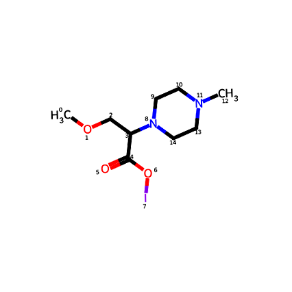 COCC(C(=O)OI)N1CCN(C)CC1